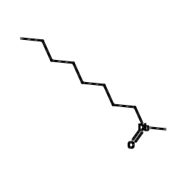 CCCCCCC[CH2][Db]([CH3])=[O]